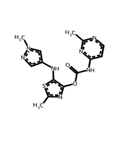 Cc1nccc(NC(=O)Oc2nc(C)sc2Nc2cnn(C)c2)n1